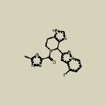 Cc1nnc(C(=O)N2CCc3[nH]cnc3C2c2cc3c(F)cccn3n2)o1